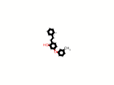 Cc1cccc(Oc2ccc(CCc3ccccc3)c(O)c2)c1